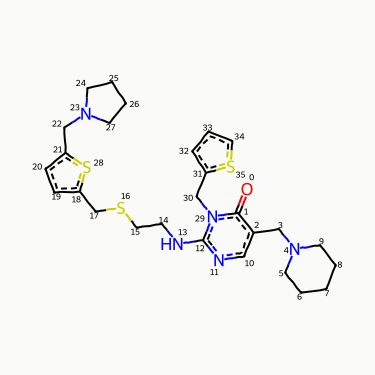 O=c1c(CN2CCCCC2)cnc(NCCSCc2ccc(CN3CCCC3)s2)n1Cc1cccs1